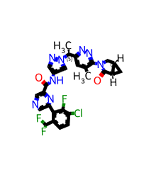 Cc1cc([C@H](C)n2cc(NC(=O)c3cncc(-c4c(C(F)F)ccc(Cl)c4F)n3)cn2)nnc1N1C[C@H]2C[C@H]2C1=O